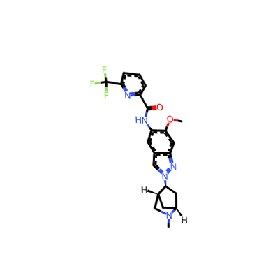 COc1cc2nn([C@H]3C[C@H]4C[C@@H]3CN4C)cc2cc1NC(=O)c1cccc(C(F)(F)F)n1